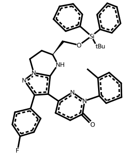 Cc1ccccc1-n1nc(-c2c(-c3ccc(F)cc3)nn3c2N[C@H](CO[Si](c2ccccc2)(c2ccccc2)C(C)(C)C)CC3)ccc1=O